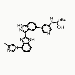 CCCCC(O)Nc1cncc(-c2ccc3[nH]nc(-c4nc5c(-n6cnc(C)c6)cccc5[nH]4)c3c2)c1